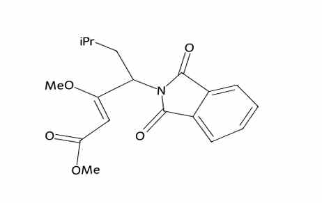 COC(=O)C=C(OC)C(CC(C)C)N1C(=O)c2ccccc2C1=O